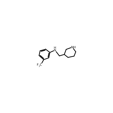 FC(F)(F)c1cc[c]c(NCC2CCCNC2)c1